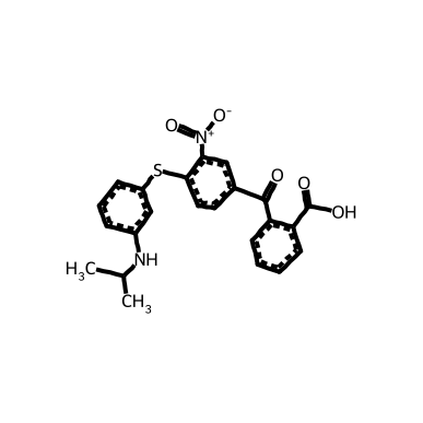 CC(C)Nc1cccc(Sc2ccc(C(=O)c3ccccc3C(=O)O)cc2[N+](=O)[O-])c1